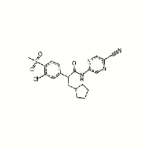 CS(=O)(=O)c1ccc(C(CC2CCCC2)C(=O)Nc2cnc(C#N)cn2)cc1Cl